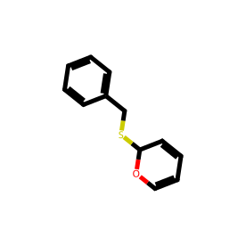 [C]1=CC=COC1SCc1ccccc1